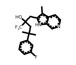 Cc1c(CC(O)(CC(C)(C)c2cccc(F)c2)C(F)(F)F)[nH]c2cnccc12